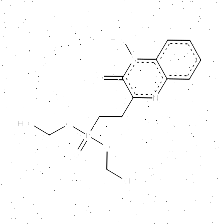 CCOP(=O)(CCc1nc2ccccc2n(C)c1=O)OCC